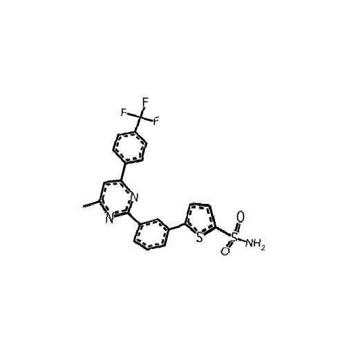 Cc1cc(-c2ccc(C(F)(F)F)cc2)nc(-c2cccc(-c3ccc(S(N)(=O)=O)s3)c2)n1